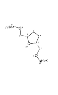 CCCCCCOC[C@H]1CC[C@@H](COCCCCCC)O1